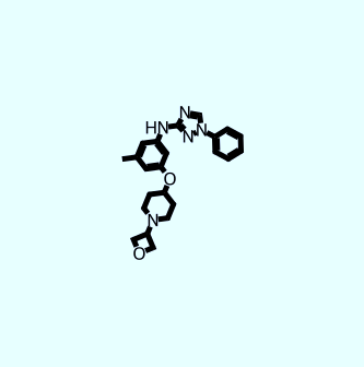 Cc1cc(Nc2ncn(-c3ccccc3)n2)cc(OC2CCN(C3COC3)CC2)c1